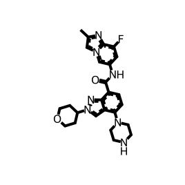 Cc1cn2cc(NC(=O)c3ccc(N4CCNCC4)c4cn(C5CCOCC5)nc34)cc(F)c2n1